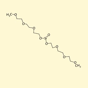 COCCOCCOCCO[Si](=O)OCCOCCOCCOC